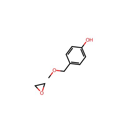 C1CO1.COCc1ccc(O)cc1